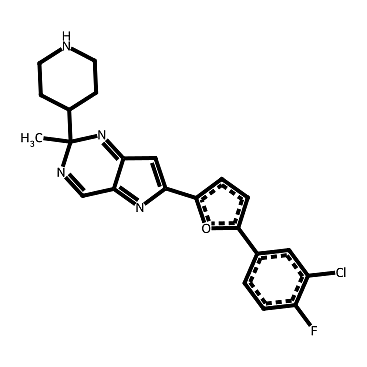 CC1(C2CCNCC2)N=CC2=NC(c3ccc(-c4ccc(F)c(Cl)c4)o3)=CC2=N1